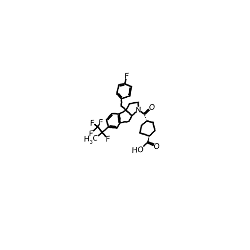 CC(F)(c1ccc2c(c1)CC1N(C(=O)[C@H]3CC[C@H](C(=O)O)CC3)CCC21Cc1ccc(F)cc1)C(F)(F)F